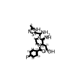 CC1=NSC(C(N)N2CCN(C(=O)c3ccc(F)cc3)C(CCO)C2=N)N1